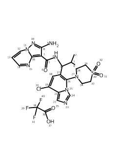 CC(C)C(NC(=O)c1c(N)nn2cccnc12)c1cc(Cl)c2cncn2c1N1CCS(=O)(=O)CC1.O=C(O)C(F)(F)F